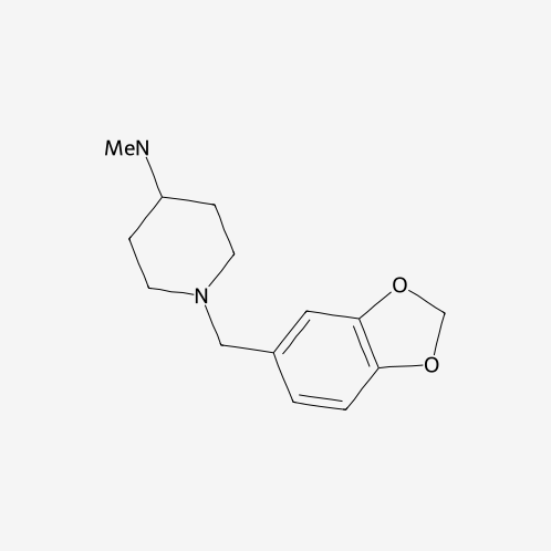 CNC1CCN(Cc2ccc3c(c2)OCO3)CC1